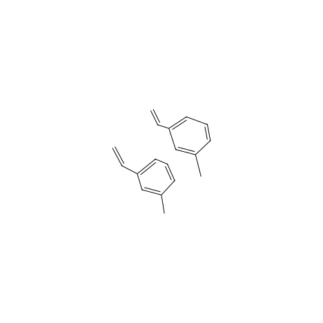 C=Cc1cccc(C)c1.C=Cc1cccc(C)c1